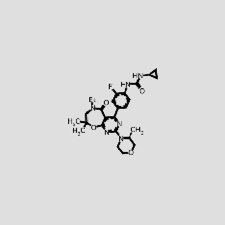 CCN1CC(C)(C)Oc2nc(N3CCOC[C@@H]3C)nc(-c3ccc(NC(=O)NC4CC4)c(F)c3)c2C1=O